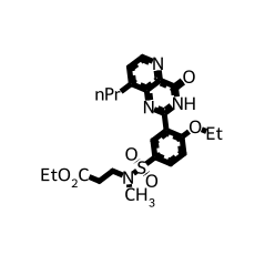 CCCc1ccnc2c(=O)[nH]c(-c3cc(S(=O)(=O)N(C)CCC(=O)OCC)ccc3OCC)nc12